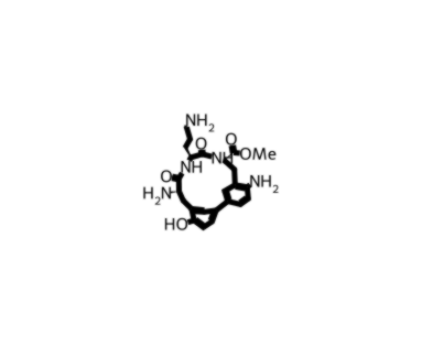 COC(=O)[C@@H]1Cc2cc(ccc2N)-c2ccc(O)c(c2)C[C@H](N)C(=O)N[C@@H](CCCN)C(=O)N1